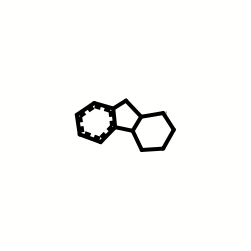 [C]1CCCC2c3ccccc3CC12